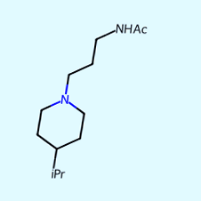 CC(=O)NCCCN1CCC(C(C)C)CC1